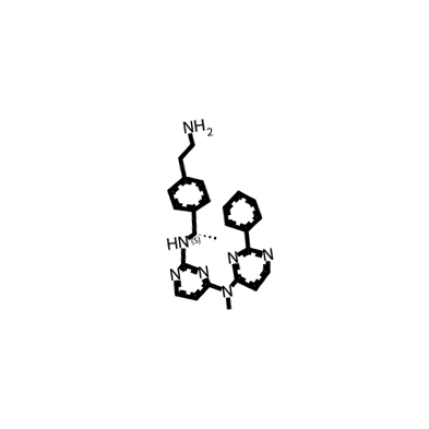 C[C@H](Nc1nccc(N(C)c2ccnc(-c3ccccc3)n2)n1)c1ccc(CCN)cc1